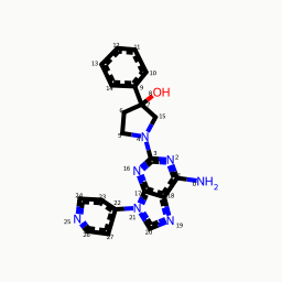 Nc1nc(N2CCC(O)(c3ccccc3)C2)nc2c1ncn2-c1ccncc1